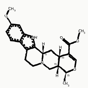 COC(=O)C1=CO[C@@H](C)[C@@H]2CN3CCc4c([nH]c5cc(OC)ccc45)[C@@H]3C[C@H]12